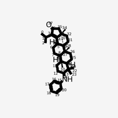 CC(C)C1=C2[C@H]3CC[C@@H]4[C@@]5(C)CCC(Nc6ccccc6)C(C)(C)[C@@H]5CC[C@@]4(C)[C@]3(C)CC[C@@]2(C)CC1=O